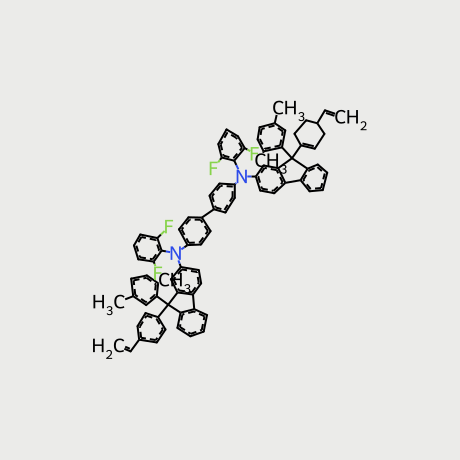 C=Cc1ccc(C2(c3cc(C)ccc3C)c3ccccc3-c3ccc(N(c4ccc(-c5ccc(N(c6ccc7c(c6)C(C6=CCC(C=C)CC6)(c6cc(C)ccc6C)c6ccccc6-7)c6c(F)cccc6F)cc5)cc4)c4c(F)cccc4F)cc32)cc1